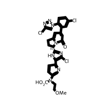 COCCN(C(=O)O)c1ccc(-c2[nH]c([C@@H]3CCc4cc(-c5cc(Cl)ccc5-n5cc(Cl)nn5)cc(=O)n43)nc2Cl)nc1